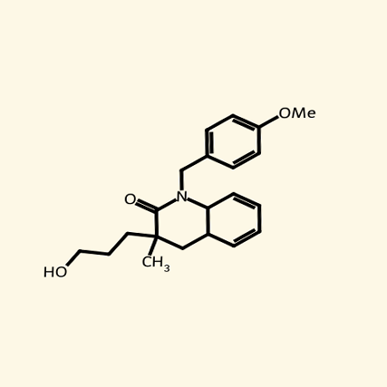 COc1ccc(CN2C(=O)C(C)(CCCO)CC3C=CC=CC32)cc1